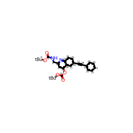 CC(C)(C)OC(=O)NCc1cc(OC(=O)OC(C)(C)C)c2cc(C#Cc3ccccc3)ccc2n1